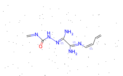 C=C\C=C/N=C(N)/C(N)=N/NC(=O)N=C